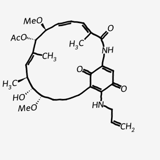 C=CCNC1=C2CCC[C@H](OC)[C@H](O)[C@@H](C)/C=C(\C)[C@H](OC(C)=O)[C@@H](OC)/C=C\C=C(/C)C(=O)NC(=CC1=O)C2=O